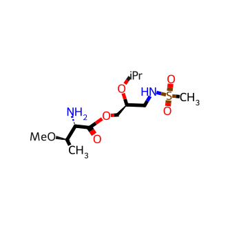 CO[C@H](C)[C@H](N)C(=O)OC[C@H](CNS(C)(=O)=O)OC(C)C